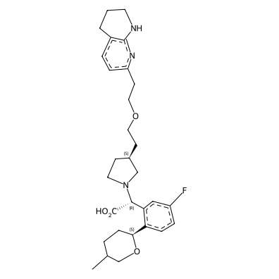 CC1CC[C@@H](c2ccc(F)cc2[C@H](C(=O)O)N2CC[C@@H](CCOCCc3ccc4c(n3)NCCC4)C2)OC1